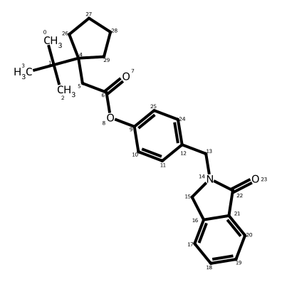 CC(C)(C)C1(CC(=O)Oc2ccc(CN3Cc4ccccc4C3=O)cc2)CCCC1